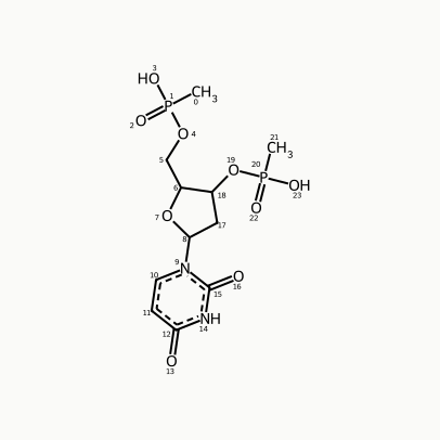 CP(=O)(O)OCC1OC(n2ccc(=O)[nH]c2=O)CC1OP(C)(=O)O